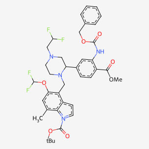 COC(=O)c1ccc(C2CN(CC(F)F)CCN2Cc2c(OC(F)F)cc(C)c3c2ccn3C(=O)OC(C)(C)C)cc1NC(=O)OCc1ccccc1